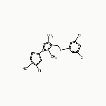 Cc1nn(-c2ccc(C#N)c(Cl)c2)c(C)c1COc1cc(Cl)cc(Cl)c1